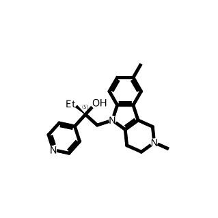 CC[C@@](O)(Cn1c2c(c3cc(C)ccc31)CN(C)CC2)c1ccncc1